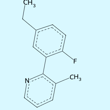 CCc1ccc(F)c(-c2ncccc2C)c1